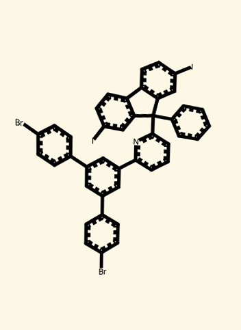 Brc1ccc(-c2cc(-c3ccc(Br)cc3)cc(-c3cccc(C4(c5ccccc5)c5cc(I)ccc5-c5ccc(I)cc54)n3)c2)cc1